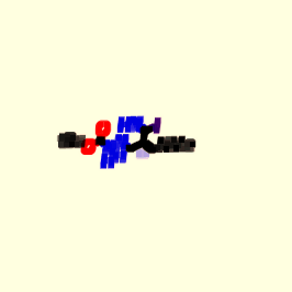 CN/C=C(/CNNC(=O)OC(C)(C)C)C(=N)I